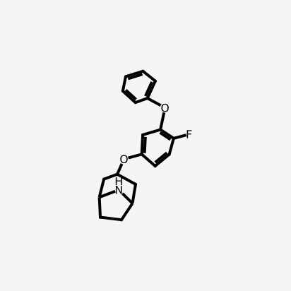 Fc1ccc(OC2CC3CCC(C2)N3)cc1Oc1ccccc1